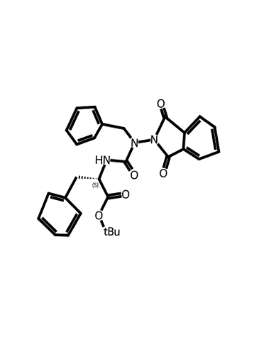 CC(C)(C)OC(=O)[C@H](Cc1ccccc1)NC(=O)N(Cc1ccccc1)N1C(=O)c2ccccc2C1=O